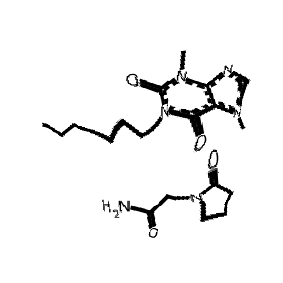 CCCCCCn1c(=O)c2c(ncn2C)n(C)c1=O.NC(=O)CN1CCCC1=O